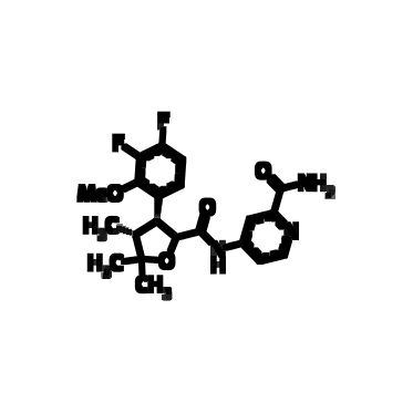 COc1c([C@H]2C(C(=O)Nc3ccnc(C(N)=O)c3)OC(C)(C)[C@@H]2C)ccc(F)c1F